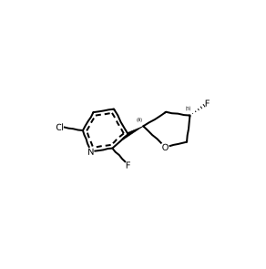 Fc1nc(Cl)ccc1[C@H]1C[C@H](F)CO1